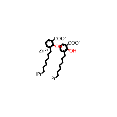 CC(C)CCCCCCCc1cccc(C(=O)[O-])c1O.CC(C)CCCCCCCc1cccc(C(=O)[O-])c1O.[Zn+2]